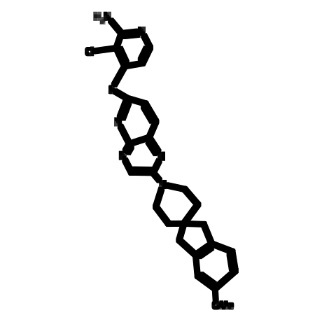 COc1ccc2c(c1)CC1(CCN(c3cnc4nc(Sc5ccnc(N)c5Cl)ccc4n3)CC1)C2